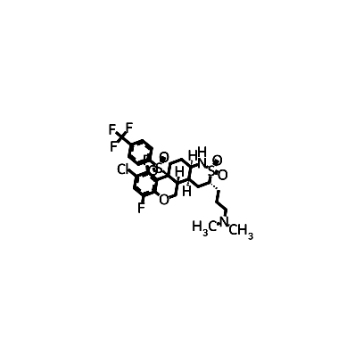 CN(C)CCC[C@@H]1C[C@@H]2[C@@H](CC[C@@]3(S(=O)(=O)c4ccc(C(F)(F)F)cc4)c4c(F)c(Cl)cc(F)c4OC[C@@H]23)NS1(=O)=O